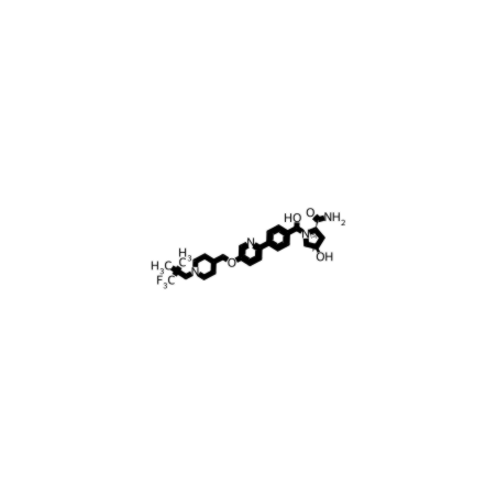 CC(C)(CN1CCC(COc2ccc(-c3ccc(C(O)N4C[C@H](O)C[C@H]4C(N)=O)cc3)nc2)CC1)C(F)(F)F